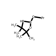 CC(C)OB1BC(C)(C)C(C)(C)O1